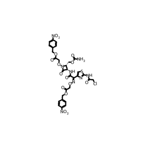 NC(=O)OC[C@@H]1[C@H](NC(=O)/C(=N\OCC(=O)OCc2ccc([N+](=O)[O-])cc2)c2csc(NC(=O)CCl)n2)C(=O)N1OCC(=O)OCc1ccc([N+](=O)[O-])cc1